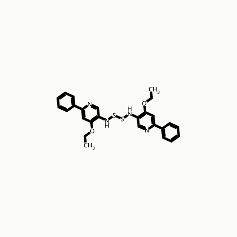 CCOc1cc(-c2ccccc2)ncc1NSSNc1cnc(-c2ccccc2)cc1OCC